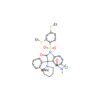 CCSc1ccc(S(=O)(=O)N2C(=O)C(c3ccccc3OC)(N3CCCC[C@H]3C(=O)N(C)C)c3cc(Cl)ccc32)c(SCC)c1